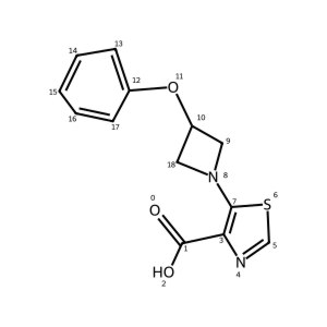 O=C(O)c1ncsc1N1CC(Oc2ccccc2)C1